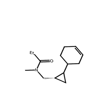 CCC(=O)N(C)C[C@H]1CC1C1CC=CCC1